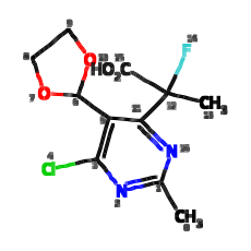 Cc1nc(Cl)c(C2OCCO2)c(C(C)(F)C(=O)O)n1